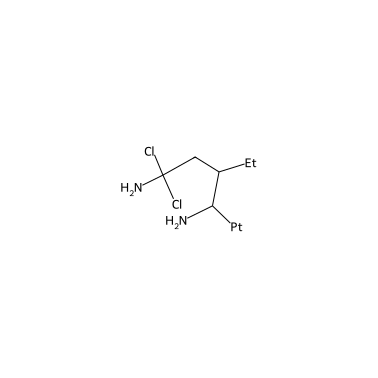 CCC(CC(N)(Cl)Cl)[CH](N)[Pt]